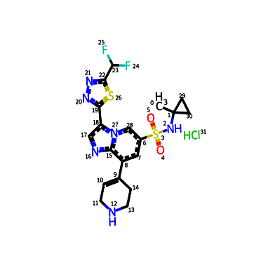 CC1(NS(=O)(=O)c2cc(C3=CCNCC3)c3ncc(-c4nnc(C(F)F)s4)n3c2)CC1.Cl